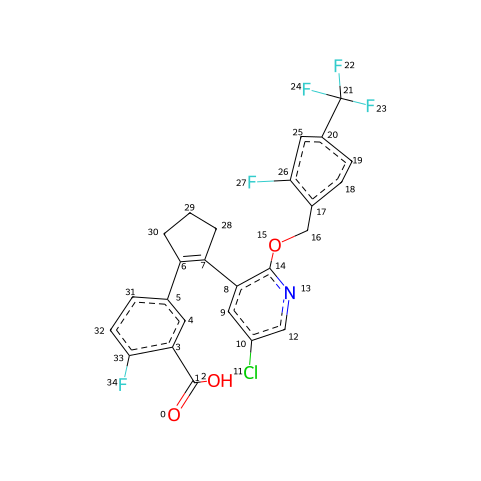 O=C(O)c1cc(C2=C(c3cc(Cl)cnc3OCc3ccc(C(F)(F)F)cc3F)CCC2)ccc1F